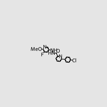 COc1ncc(NNC(=O)c2cccc(-c3ccc(Cl)cc3)n2)cc1F